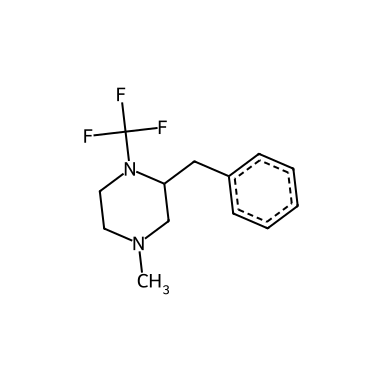 CN1CCN(C(F)(F)F)C(Cc2ccccc2)C1